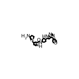 NC1CCCN(Cc2ccnc(C(=O)NC3CCC(c4cc5c(N6CCOCC6)ncnc5[nH]4)CC3)c2)C1